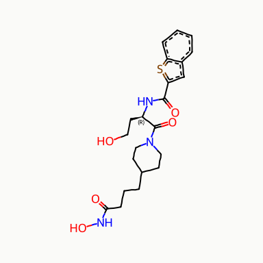 O=C(CCCC1CCN(C(=O)[C@@H](CCO)NC(=O)c2cc3ccccc3s2)CC1)NO